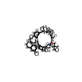 CO[C@@]1(CN2CCC23COC3)/C=C/C[C@H](C)[C@@H](C)S(=O)(=O)NC(=O)c2ccc3c(c2)N(C[C@@H]2CC[C@H]21)C[C@@]1(CCCc2cc(Cl)ccc21)CO3